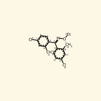 [CH2]CON=C(c1ccc(Cl)cc1C)c1ccc(Cl)cc1C